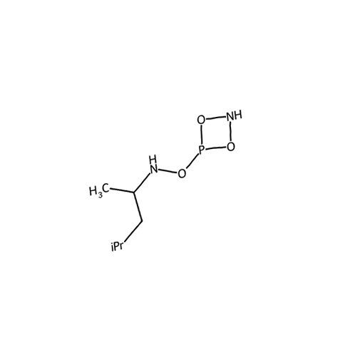 CC(C)CC(C)NOP1ONO1